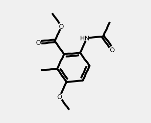 COC(=O)c1c(NC(C)=O)ccc(OC)c1C